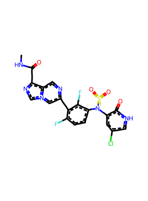 CNC(=O)c1ncn2cc(-c3c(F)ccc(N(c4cc(Cl)c[nH]c4=O)[SH](=O)=O)c3F)ncc12